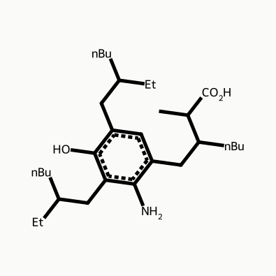 CCCCC(CC)Cc1cc(CC(CCCC)C(C)C(=O)O)c(N)c(CC(CC)CCCC)c1O